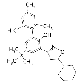 Cc1cc(C)c(-c2cc(C(C)(C)C)cc(C3=NOC(C4CCCCC4)C3)c2O)c(C)c1